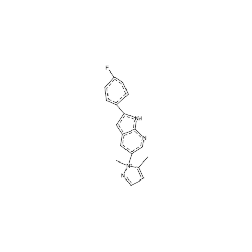 CC1=CC=N[N+]1(C)c1cnc2[nH]c(-c3ccc(F)cc3)cc2c1